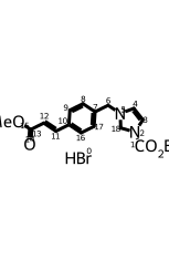 Br.CCOC(=O)N1C=CN(Cc2ccc(C=CC(=O)OC)cc2)C1